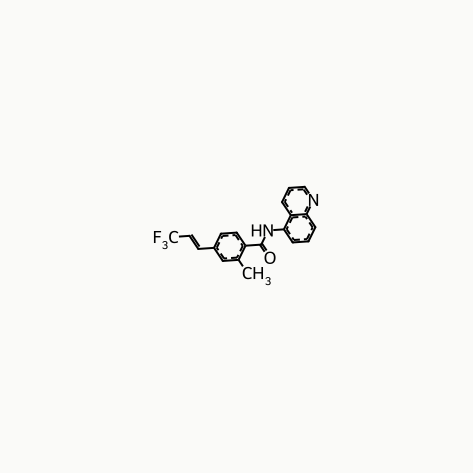 Cc1cc(C=CC(F)(F)F)ccc1C(=O)Nc1cccc2ncccc12